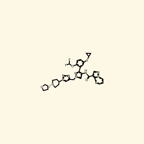 O=C(Nc1cn(Cc2cn(C3CCN([C@@H]4CCOC4)CC3)nn2)nc1-c1cc(SC2CC2)ccc1OC(F)F)c1cnn2cccnc12